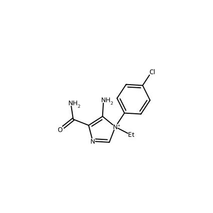 CC[N+]1(c2ccc(Cl)cc2)C=NC(C(N)=O)=C1N